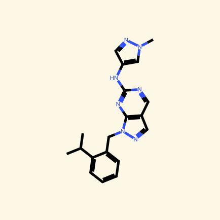 CC(C)c1ccccc1Cn1ncc2cnc(Nc3cnn(C)c3)nc21